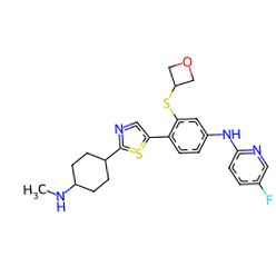 CNC1CCC(c2ncc(-c3ccc(Nc4ccc(F)cn4)cc3SC3COC3)s2)CC1